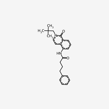 CC(C)(C)Cn1ccc2c(NC(=O)CCCc3ccccc3)cccc2c1=O